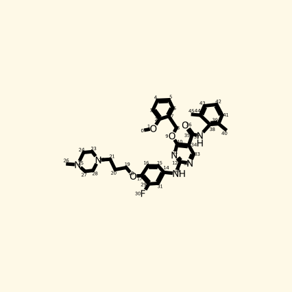 COc1ccccc1COc1nc(Nc2ccc(OCCCN3CCN(C)CC3)c(F)c2)ncc1C(=O)Nc1c(C)cccc1C